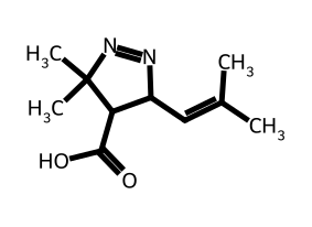 CC(C)=CC1N=NC(C)(C)C1C(=O)O